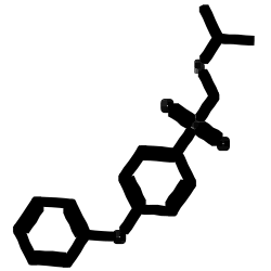 CC(C)SCS(=O)(=O)c1ccc(Oc2ccccc2)cc1